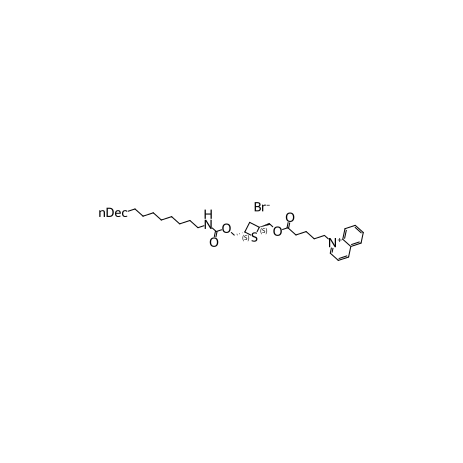 CCCCCCCCCCCCCCCCCCNC(=O)OC[C@@H]1C[C@@H](COC(=O)CCCC[n+]2cccc3ccccc32)S1.[Br-]